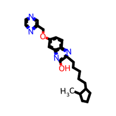 CC1CCCC1CCCCCc1nc2ccc(OCc3cnccn3)cc2nc1O